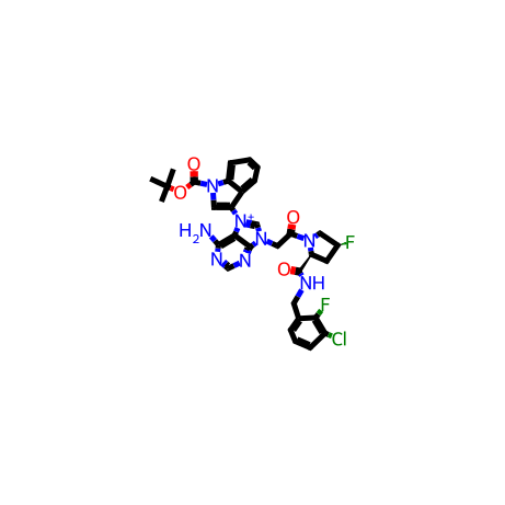 CC(C)(C)OC(=O)n1cc(-[n+]2cn(CC(=O)N3C[C@H](F)C[C@H]3C(=O)NCc3cccc(Cl)c3F)c3ncnc(N)c32)c2ccccc21